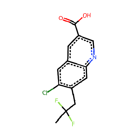 CC(F)(F)Cc1cc2ncc(C(=O)O)cc2cc1Cl